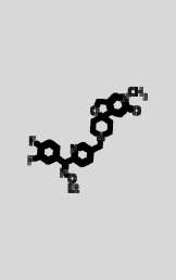 CCO/N=C(/c1ccc(F)c(F)c1)c1ccc(CN2CCC3(CC2)OCc2cn(C)c(=O)cc23)cn1